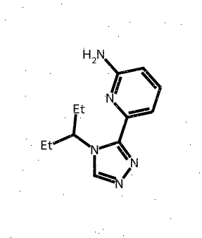 CCC(CC)n1cnnc1-c1cccc(N)n1